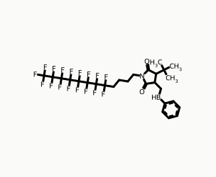 CC(C)(C)C1C(=O)N(CCCCC(F)(F)C(F)(F)C(F)(F)C(F)(F)C(F)(F)C(F)(F)C(F)(F)C(F)(F)F)C(=O)C1CBc1ccccc1